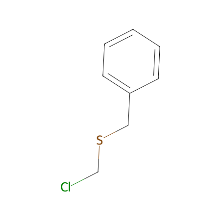 ClCSCc1ccccc1